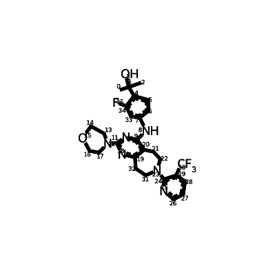 CC(C)(O)c1ccc(Nc2nc(N3CCOCC3)nc3c2CCN(c2ncccc2C(F)(F)F)CC3)cc1F